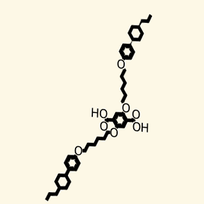 CCCC1CCC(c2ccc(OCCCCCCOc3cc(C(=O)O)c(OCCCCCCOc4ccc([C@H]5CC[C@H](CCC)CC5)cc4)cc3C(=O)O)cc2)CC1